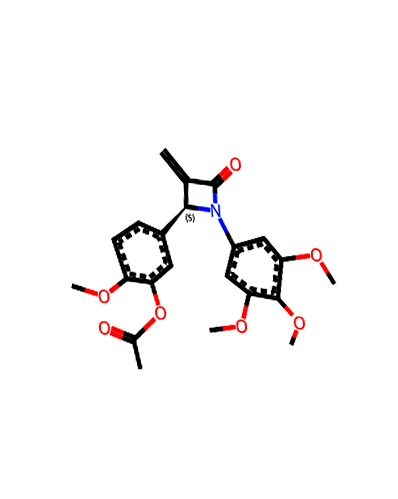 C=C1C(=O)N(c2cc(OC)c(OC)c(OC)c2)[C@H]1c1ccc(OC)c(OC(C)=O)c1